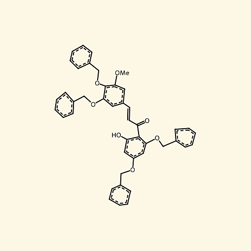 COc1cc(C=CC(=O)c2c(O)cc(OCc3ccccc3)cc2OCc2ccccc2)cc(OCc2ccccc2)c1OCc1ccccc1